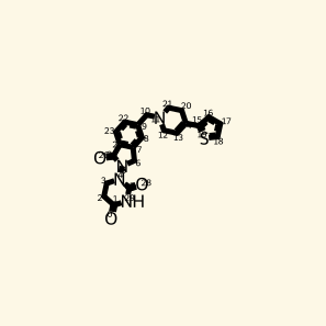 O=C1CCN(N2Cc3cc(CN4CC=C(c5cccs5)CC4)ccc3C2=O)C(=O)N1